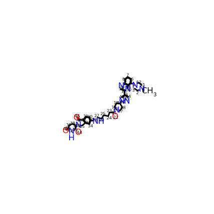 CN1CCN(c2cccc3ncc(-c4cnn(C5CCN(C(=O)CCCCCNc6ccc7c(c6)CN(C6CCC(=O)NC6=O)C7=O)CC5)c4)nc23)CC1